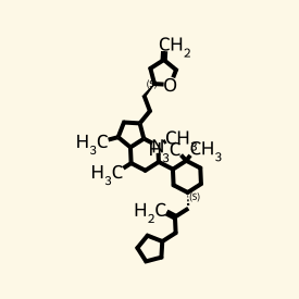 C=C(CC1CCCC1)C[C@H]1CCC(C)(C)C(C2CC(C)C3C(C)CC(CC[C@H]4CC(=C)CO4)C3N2C)C1